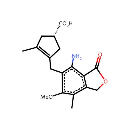 COc1c(C)c2c(c(N)c1CC1=C(C)C[C@H](C(=O)O)C1)C(=O)OC2